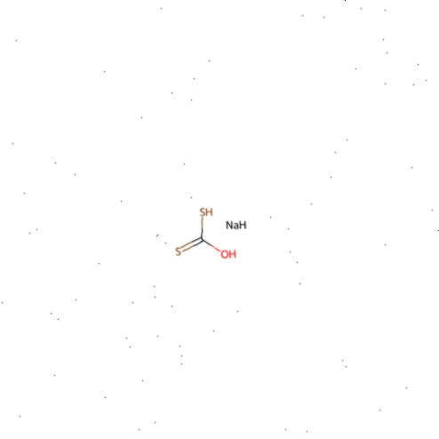 OC(=S)S.[NaH]